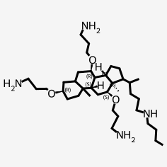 CCCCNCCCC(C)C1CC[C@H]2C3[C@H](OCCCN)CC4C[C@H](OCCCN)CCC4(C)[C@H]3C[C@H](OCCCN)[C@]12C